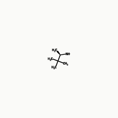 C[C@@H]([NH])C(C)(C)C